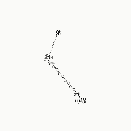 NC(CCCCNC(=O)CCOCCOCCOCCOCCOCCOCCOCCOCCNC(=O)CC[C@H](NC(=O)CCCCCCCCCCCCCCCCC(=O)O)C(=O)O)C(=O)O